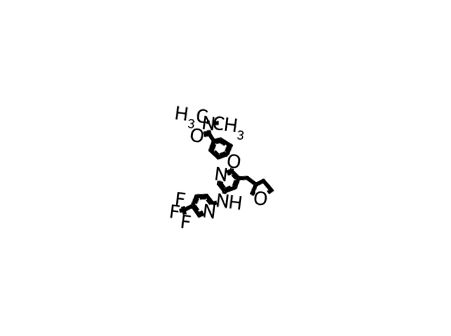 CN(C)C(=O)c1ccc(Oc2ncc(Nc3ccc(C(F)(F)F)cn3)cc2CC2CCOC2)cc1